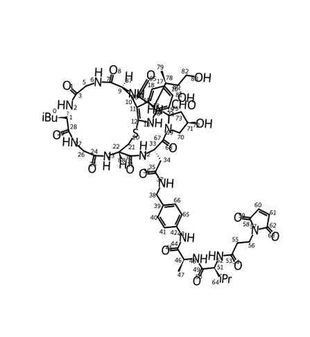 CC[C@H](C)[C@@H]1NC(=O)CNC(=O)[C@@H]2Cc3c([nH]c4ccccc34)SC[C@@H](NC(=O)CNC1=O)C(=O)N[C@@H](CC(=O)NCc1ccc(NC(=O)[C@H](C)NC(=O)[C@@H](NC(=O)CCN3C(=O)C=CC3=O)C(C)C)cc1)C(=O)N1C[C@H](O)C[C@]1(C=O)N[C@@H]([C@@H](C)[C@@H](O)CO)C(=O)N2